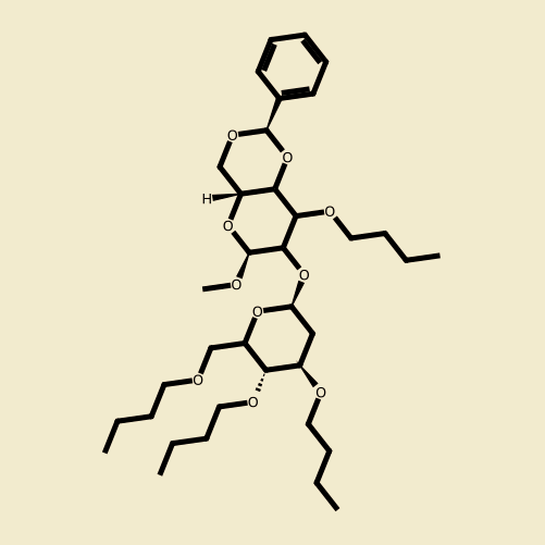 CCCCOCC1O[C@@H](OC2C(OCCCC)C3O[C@H](c4ccccc4)OC[C@H]3O[C@@H]2OC)C[C@@H](OCCCC)[C@@H]1OCCCC